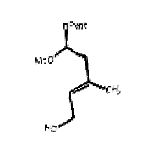 CCCCCC(CC(C)=CCO)OC